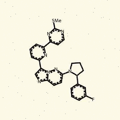 CSc1nccc(-c2cccc(-c3cnc4ccc(N5CCCC5c5cccc(F)c5)nn34)n2)n1